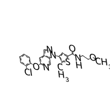 COCCNC(=O)c1cc(-n2ncc3cc(Oc4ccccc4Cl)ncc32)c(C)s1